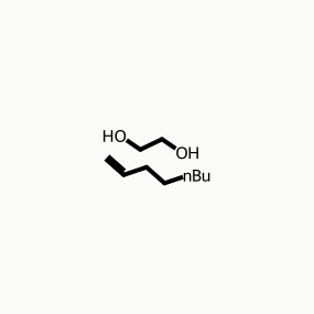 C=CCCCCCC.OCCO